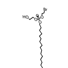 CCCCCCCCCCCCCCCCOP(=O)(OCCO)OCCBr